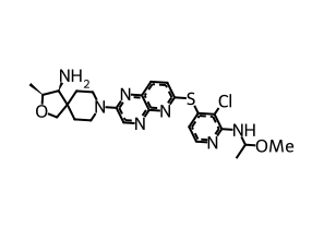 COC(C)Nc1nccc(Sc2ccc3nc(N4CCC5(CC4)CO[C@@H](C)[C@H]5N)cnc3n2)c1Cl